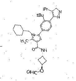 Cc1c(C(=O)N[C@H]2C[C@H](OC=O)C2)cc(-c2ccc(C3=C(C(C)C)CN=N3)c(C(C)(C)C)c2)n1CC1CCCCC1